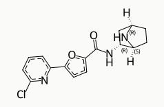 O=C(N[C@@H]1C[C@H]2CC[C@@H]1N2)c1ccc(-c2cccc(Cl)n2)o1